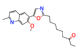 CCC(=O)CCCCCCc1ncc(-c2cc3ccc(C)nc3cc2OC)o1